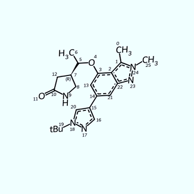 Cc1c2c(OC(C)[C@H]3CNC(=O)C3)cc(-c3cnn(C(C)(C)C)c3)cc2nn1C